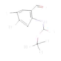 CC(C)(C)OC(O)Nc1cc(O)c(Cl)cc1C=O